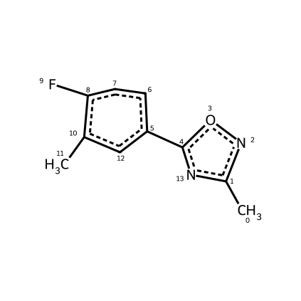 Cc1noc(-c2ccc(F)c(C)c2)n1